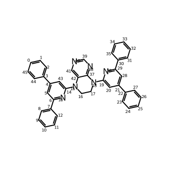 c1ccc(-c2cc(-c3ccccc3)nc(N3CCN(c4cc(-c5ccccc5)cc(-c5ccccc5)n4)c4ncncc43)c2)cc1